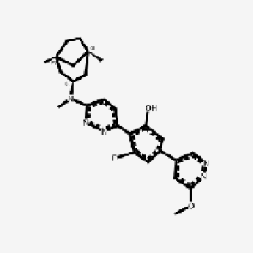 COc1cc(-c2cc(O)c(-c3ccc(N(C)[C@H]4C[C@]5(C)CC[C@](C)(C4)C5)nn3)c(F)c2)cnn1